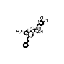 N#CC[C@H](C(=O)NCc1ccc(Cl)c(Cl)n1)N1CCC(CCc2ccccc2)N2C[C@H](N)C[C@H]2C1=O